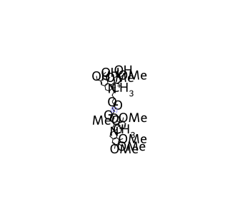 COc1ccc(C2c3c(cc(CO)c(CO)c3OC)CC[N+]2(C)CCCOC(=O)/C=C/C(=O)OCCC[N+]2(C)CCc3cc(OC)c(OC)c(OC)c3C2Cc2ccc(OC)c(OC)c2)cc1CO